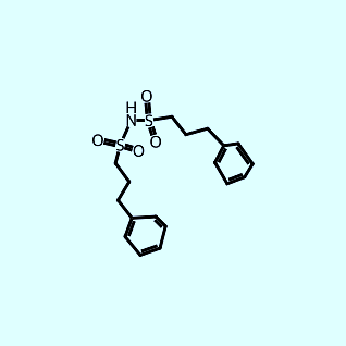 O=S(=O)(CCCc1ccccc1)NS(=O)(=O)CCCc1ccccc1